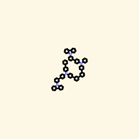 c1ccc(-c2ccc(N(c3ccc(-c4cccc(-c5cccc(-c6ccc(N(c7ccccc7)c7ccc(-c8cccc(-n9c%10ccccc%10c%10ccccc%109)c8)cc7)cc6)c5)c4)cc3)c3ccc(-c4cccc(-n5c6ccccc6c6ccccc65)c4)cc3)cc2)cc1